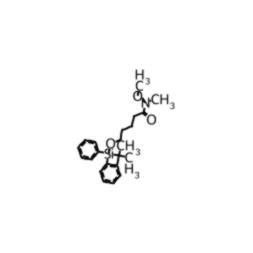 CON(C)C(=O)CCCCO[Si]1(c2ccccc2)c2ccccc2C1(C)C